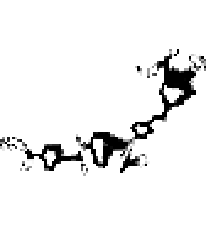 CC(=O)N(c1ccc(/C=C/c2ccc(O)c(C(=O)O)c2)cc1)c1ccc(N(C)C(=O)c2ccc(C(=O)O)cc2)cc1